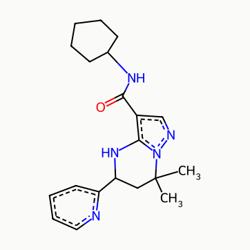 CC1(C)CC(c2ccccn2)Nc2c(C(=O)NC3CCCCC3)cnn21